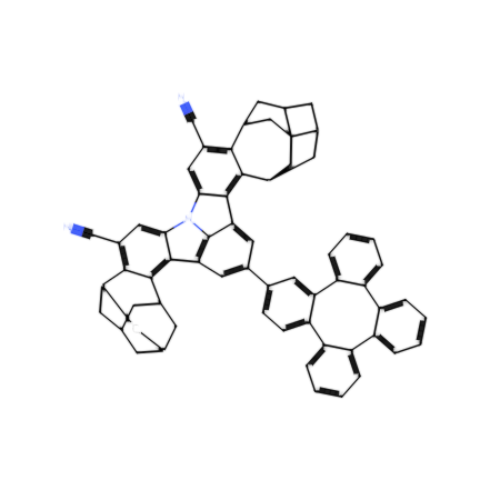 N#Cc1cc2c(c3c1C1CC4CC(C1)CC3C4)c1cc(-c3ccc4c(c3)-c3ccccc3-c3ccccc3-c3ccccc3-4)cc3c4c5c(c(C#N)cc4n2c13)C1CC2CC3CC5CC23C1